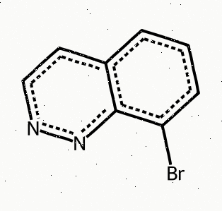 Brc1cccc2ccnnc12